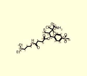 CCN(CC)CCCNC(=O)CCC(=O)OC(c1ccc(S(C)(=O)=O)cc1)C(CF)C(Cl)(Cl)C(N)=O